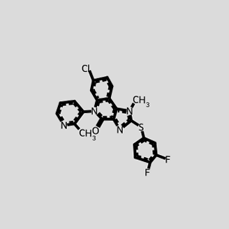 Cc1ncccc1-n1c(=O)c2nc(Sc3ccc(F)c(F)c3)n(C)c2c2ccc(Cl)cc21